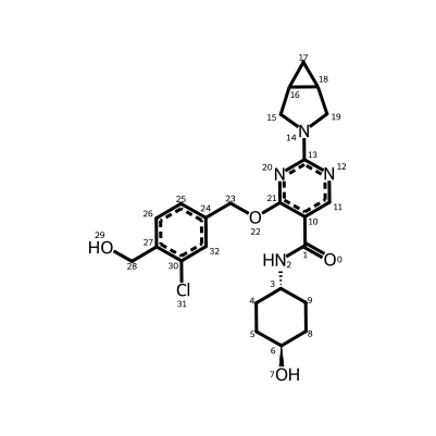 O=C(N[C@H]1CC[C@H](O)CC1)c1cnc(N2CC3CC3C2)nc1OCc1ccc(CO)c(Cl)c1